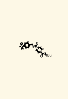 CC(C)(C)OC(=O)N1CCN(C(=S)SCc2ccc(S(C)(=O)=O)cc2)CC1